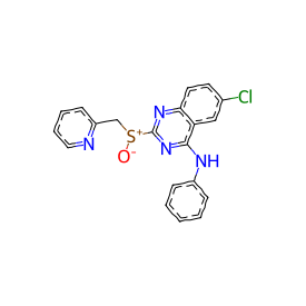 [O-][S+](Cc1ccccn1)c1nc(Nc2ccccc2)c2cc(Cl)ccc2n1